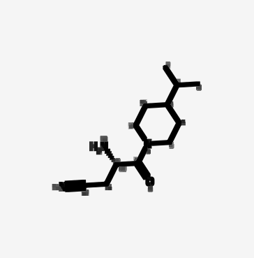 CC(C)C1CCN(C(=O)[C@@H](N)CC#N)CC1